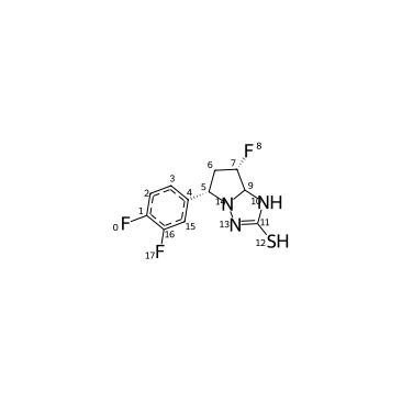 Fc1ccc([C@@H]2C[C@H](F)C3NC(S)=NN32)cc1F